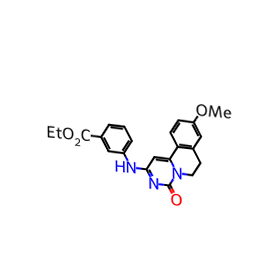 CCOC(=O)c1cccc(Nc2cc3n(c(=O)n2)CCc2cc(OC)ccc2-3)c1